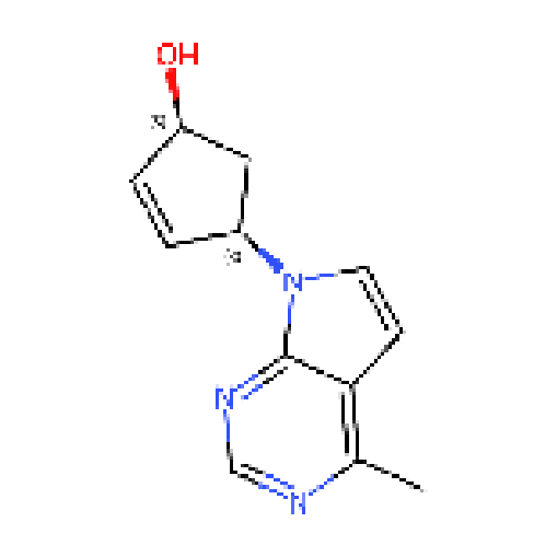 Cc1ncnc2c1ccn2[C@H]1C=C[C@@H](O)C1